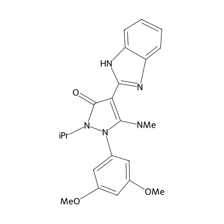 CNc1c(-c2nc3ccccc3[nH]2)c(=O)n(C(C)C)n1-c1cc(OC)cc(OC)c1